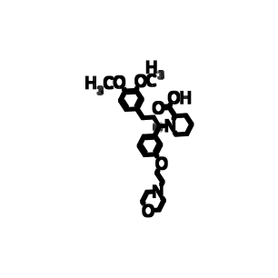 COc1ccc(CC[C@H](c2cccc(OCCN3CCOCC3)c2)N2CCCCC2C(=O)O)cc1OC